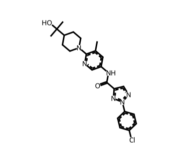 Cc1cc(NC(=O)c2cnn(-c3ccc(Cl)cc3)n2)cnc1N1CCC(C(C)(C)O)CC1